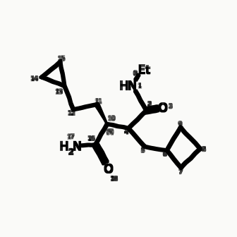 CCNC(=O)C(CC1CCC1)[C@H](CCC1CC1)C(N)=O